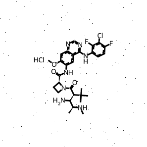 CN[C@@H](C)C(N)[C@@H](C(=O)N1CC[C@H]1C(=O)Nc1cc2c(Nc3ccc(F)c(Cl)c3F)ncnc2cc1OC)C(C)(C)C.Cl